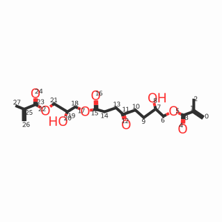 C=C(C)C(=O)OCC(O)CCC(=O)CCC(=O)OCC(O)COC(=O)C(=C)C